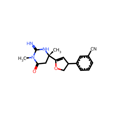 CN1C(=N)N[C@](C)(C2=CC(c3cccc(C#N)c3)CO2)CC1=O